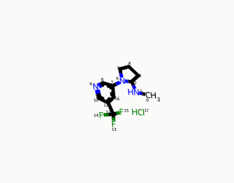 CNC1CCCN1c1cncc(C(F)(F)F)c1.Cl